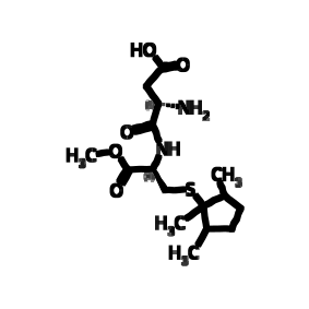 COC(=O)[C@H](CSC1(C)C(C)CCC1C)NC(=O)[C@@H](N)CC(=O)O